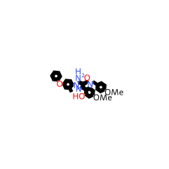 COc1ccc(Cn2c(=O)c3c(N)n(-c4ccc(Oc5ccccc5)cc4C)nc3c3c(O)cc(OC)cc32)cc1